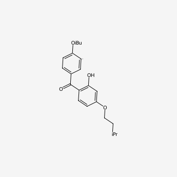 CC(C)CCOc1ccc(C(=O)c2c[c]c(OCC(C)C)cc2)c(O)c1